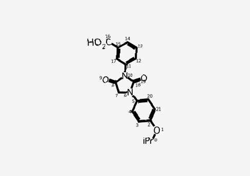 CC(C)Oc1ccc(N2CC(=O)N(c3cccc(C(=O)O)c3)C2=O)cc1